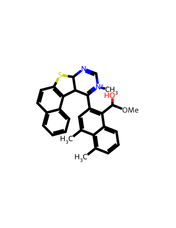 COC(O)c1c(C2=[N+](C)C=NC3Sc4ccc5ccccc5c4C23)cc(C)c2c(C)cccc12